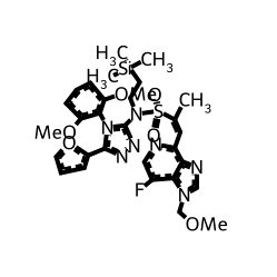 COCn1cnc2c(/C=C(/C)S(=O)(=O)N(CC[Si](C)(C)C)c3nnc(-c4ccco4)n3-c3c(OC)cccc3OC)ncc(F)c21